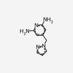 Nc1cc(Cn2cccn2)cc(N)n1